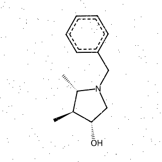 C[C@@H]1[C@@H](O)CN(Cc2ccccc2)[C@H]1C